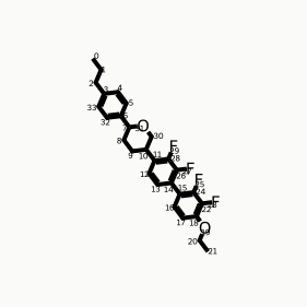 CCCc1ccc(C2CCC(c3ccc(-c4ccc(OCC)c(F)c4F)c(F)c3F)CO2)cc1